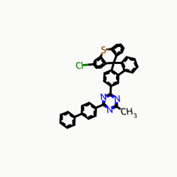 Cc1nc(-c2ccc(-c3ccccc3)cc2)nc(-c2ccc3c(c2)-c2ccccc2C32c3ccccc3Sc3cc(Cl)ccc32)n1